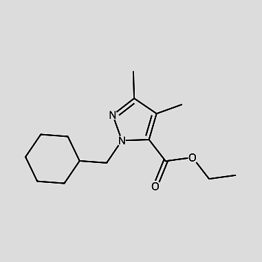 CCOC(=O)c1c(C)c(C)nn1CC1CCCCC1